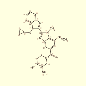 COc1cc(C(=O)N2CC[C@@H](F)[C@@H](N)C2)cc2nc(-c3cc4cccnc4n3CC3CC3)n(C)c12